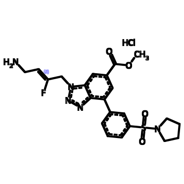 COC(=O)c1cc(-c2cccc(S(=O)(=O)N3CCCC3)c2)c2nnn(C/C(F)=C/CN)c2c1.Cl